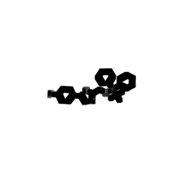 CC(C)(C)[Si](OCc1ncc(-c2ccc(F)cc2)o1)(c1ccccc1)c1ccccc1